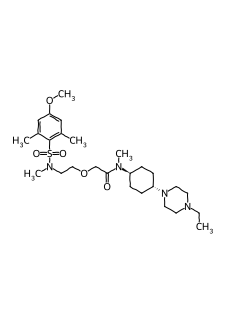 CCN1CCN([C@H]2CC[C@H](N(C)C(=O)COCCN(C)S(=O)(=O)c3c(C)cc(OC)cc3C)CC2)CC1